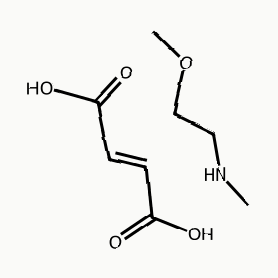 CNCCOC.O=C(O)C=CC(=O)O